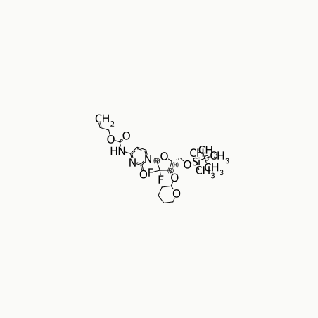 C=CCOC(=O)Nc1ccn([C@@H]2O[C@H](CO[Si](C)(C)C(C)(C)C)[C@@H](OC3CCCCO3)C2(F)F)c(=O)n1